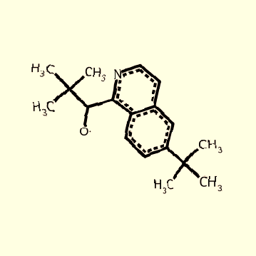 CC(C)(C)c1ccc2c(C([O])C(C)(C)C)nccc2c1